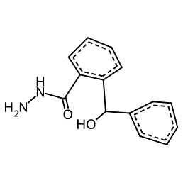 NNC(=O)c1ccccc1C(O)c1ccccc1